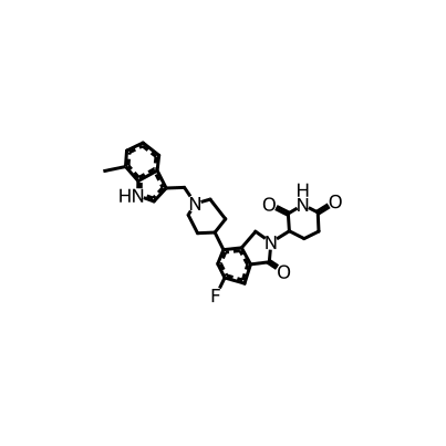 Cc1cccc2c(CN3CCC(c4cc(F)cc5c4CN(C4CCC(=O)NC4=O)C5=O)CC3)c[nH]c12